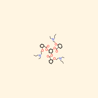 CCCN(CC)CCOc1ccccc1C(=O)Oc1cc(OC(=O)c2ccccc2OCCN(CC)CCC)cc(OC(=O)c2ccccc2OCCN(CC)CCC)c1